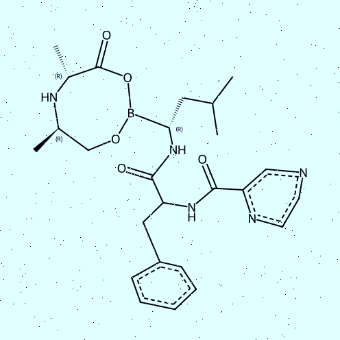 CC(C)C[C@H](NC(=O)C(Cc1ccccc1)NC(=O)c1cnccn1)B1OC[C@@H](C)N[C@H](C)C(=O)O1